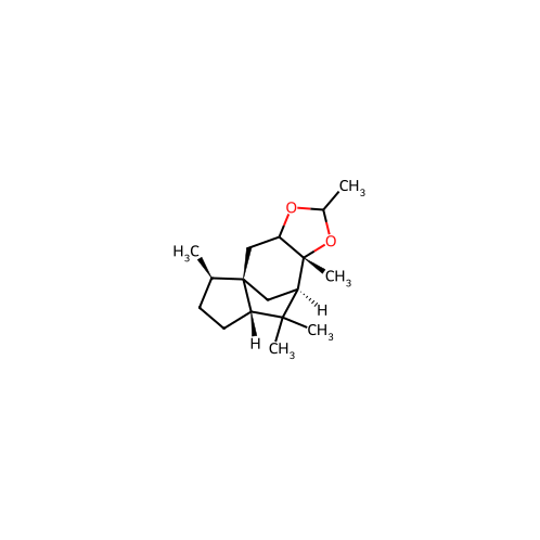 CC1OC2C[C@@]34C[C@H](C(C)(C)[C@@H]3CC[C@H]4C)[C@@]2(C)O1